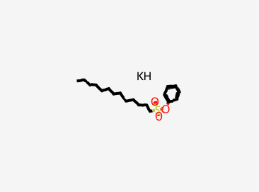 CCCCCCCCCCCCCS(=O)(=O)Oc1ccccc1.[KH]